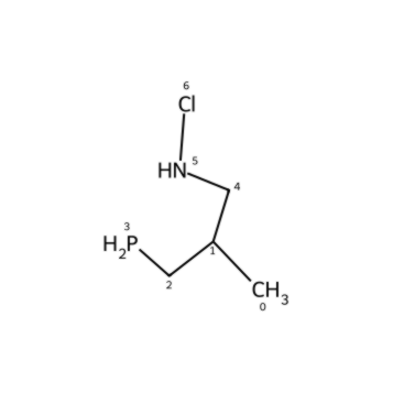 CC(CP)CNCl